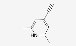 C#CC1=CC(C)NC(C)=C1